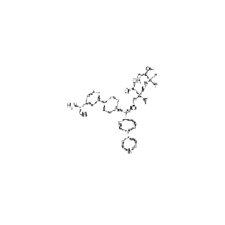 N=C(N)c1cccc(C2CCN(C(=O)c3ccc(-c4ccncc4)cc3)CC2)c1.O=C(O)C(F)(F)F.O=C(O)C(F)(F)F